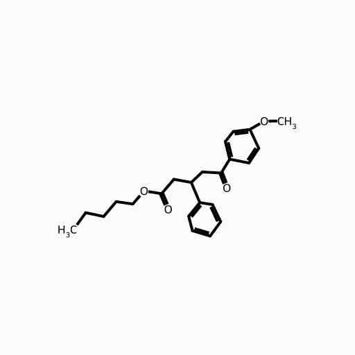 CCCCCOC(=O)CC(CC(=O)c1ccc(OC)cc1)c1ccccc1